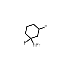 [CH2]CCC1(F)CCCC(F)C1